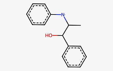 CC([N]c1ccccc1)C(O)c1ccccc1